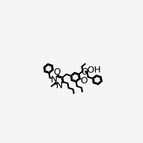 CCCCc1nc(C)n(Cc2ccccc2)c(=O)c1Cc1cc(CCC)c(OC(C(=O)O)c2ccccc2)c(CCC)c1